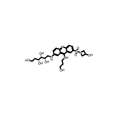 O=S(=O)(c1ccc2nc3ccc(NC[C@H](O)[C@@H](O)[C@H](O)CCO)cc3c(NCCCO)c2c1)N1CC(O)C1